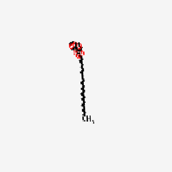 CCCCCCCCCCCCCCCCCCCCCCCC(=O)O[C@@H]1CO[C@H]2[C@@H]1OCC21OCCO1